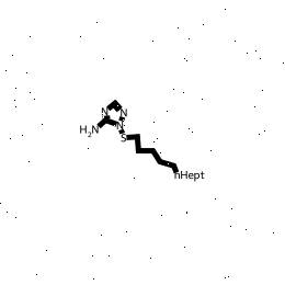 CCCCCCCCCCCCSn1ncnc1N